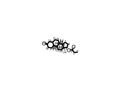 CCC(=O)OC1CC[C@H]2[C@@H]3CCC4CC(=O)CC[C@]4(C)[C@@H]3CC[C@]12C